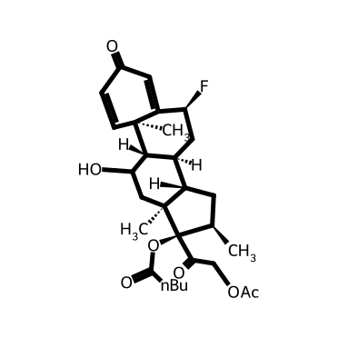 CCCCC(=O)O[C@]1(C(=O)COC(C)=O)[C@H](C)C[C@H]2[C@@H]3C[C@H](F)C4=CC(=O)C=C[C@]4(C)[C@H]3C(O)C[C@@]21C